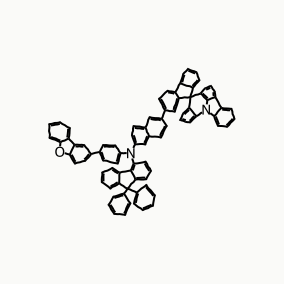 c1ccc(C2(c3ccccc3)c3ccccc3-c3c(N(c4ccc(-c5ccc6oc7ccccc7c6c5)cc4)c4ccc5cc(-c6ccc7c(c6)C6(c8ccccc8-7)c7ccccc7-n7c8ccccc8c8cccc6c87)ccc5c4)cccc32)cc1